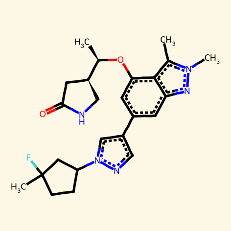 Cc1c2c(O[C@H](C)[C@H]3CNC(=O)C3)cc(-c3cnn(C4CCC(C)(F)C4)c3)cc2nn1C